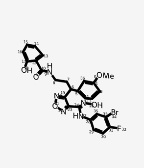 COc1cccc(C(CCNC(=O)c2ccccc2O)c2nonc2C(=NO)Nc2ccc(F)c(Br)c2)c1